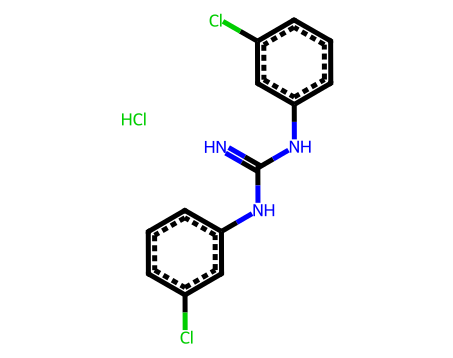 Cl.N=C(Nc1cccc(Cl)c1)Nc1cccc(Cl)c1